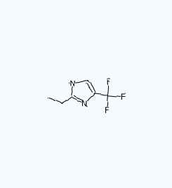 CCC1=NC(C(F)(F)F)=C[N]1